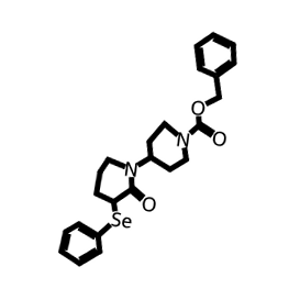 O=C(OCc1ccccc1)N1CCC(N2CCCC([Se]c3ccccc3)C2=O)CC1